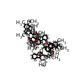 COC1=C(O)C2C(C=C1C)CC1(C)CN(C)[C@@H]2[C@@H]2[C@@H]3SC[C@]4(N[C@@H](CN)Cc5c4[nH]c4cccc(C6Oc7c(C)c(OC(C)=O)c8c(c7O6)C6COC(=O)[C@]7(CS[C@H]8[C@H]8C9c%10c(cc(C)c(OC)c%10O)CC(C)(CN9C)N68)N[C@H](CO)Cc6c7oc7ccccc67)c54)C(=O)OCC(c4c5c(c(C)c(OC(C)=O)c43)OCO5)N21